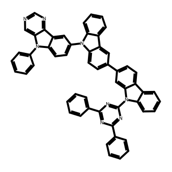 c1ccc(-c2nc(-c3ccccc3)nc(-n3c4ccccc4c4ccc(-c5ccc6c(c5)c5ccccc5n6-c5ccc6c(c5)c5ncncc5n6-c5ccccc5)cc43)n2)cc1